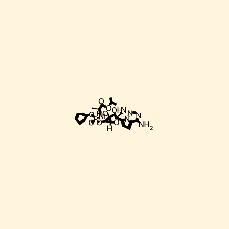 CC(C)OC(=O)[C@H](C)NP(=O)(Oc1ccccc1)OC1[C@H]2O[C@@](C#N)(c3ccc4c(N)ncnn34)[C@H](O)[C@@]12O